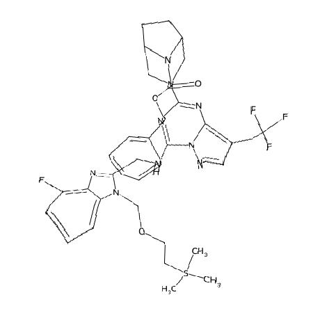 CS(C)(C)CCOCn1c(CNc2nc(N3CC4CCC(C3)N4C(=O)OCc3ccccc3)nc3c(C(F)(F)F)cnn23)nc2c(F)cccc21